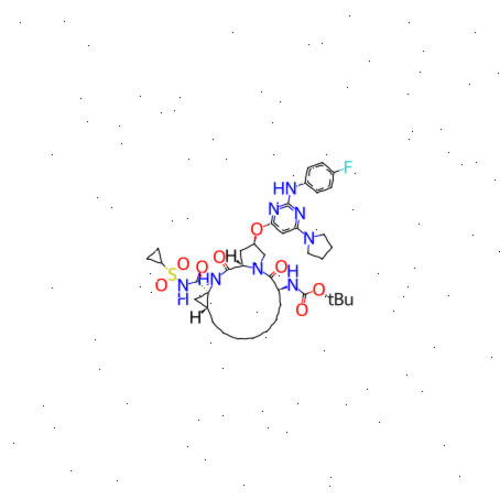 CC(C)(C)OC(=O)N[C@H]1CCCCCCC[C@@H]2C[C@@]2(C(=O)NS(=O)(=O)C2CC2)NC(=O)[C@@H]2C[C@@H](Oc3cc(N4CCCC4)nc(Nc4ccc(F)cc4)n3)CN2C1=O